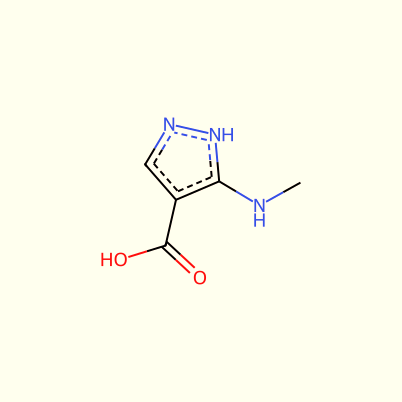 CNc1[nH]ncc1C(=O)O